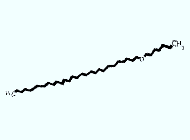 CCCCCCCCCCCCCCCCCCCCCCCCCCCCOCCCCCCC